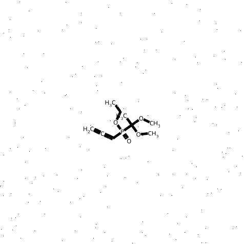 C=C=CP(=O)(OCC)C(C)(OC)OC